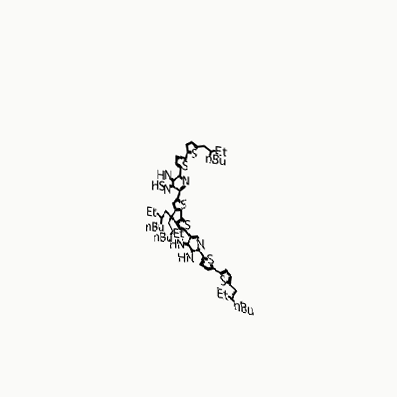 CCCCC(CC)Cc1ccc(-c2ccc(C3=NC=C(c4cc5c(s4)-c4sc(C6=CN=C(c7ccc(-c8ccc(CC(CC)CCCC)s8)s7)C(=N)/C6=N\S)cc4C5(CC(CC)CCCC)CC(CC)CCCC)C(=N)C3=N)s2)s1